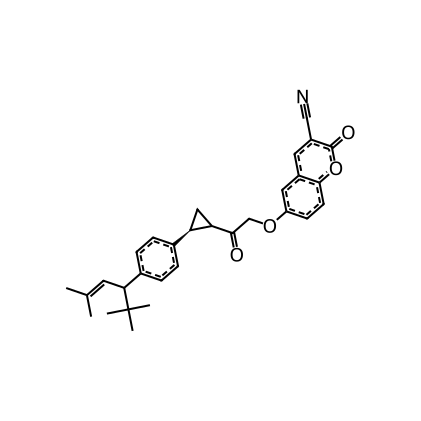 CC(C)=CC(c1ccc([C@H]2CC2C(=O)COc2ccc3oc(=O)c(C#N)cc3c2)cc1)C(C)(C)C